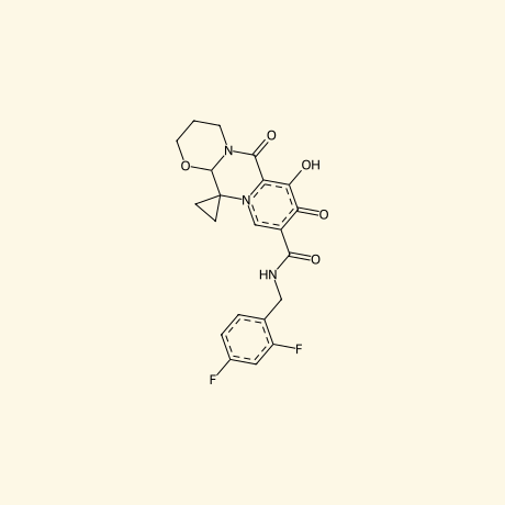 O=C(NCc1ccc(F)cc1F)c1cn2c(c(O)c1=O)C(=O)N1CCCOC1C21CC1